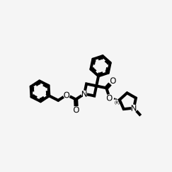 CN1CC[C@@H](OC(=O)C2(c3ccccc3)CN(C(=O)OCc3ccccc3)C2)C1